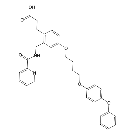 O=C(O)CCc1ccc(OCCCCOc2ccc(Oc3ccccc3)cc2)cc1CNC(=O)c1ccccn1